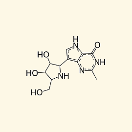 Cc1nc2c(C3NC(CO)C(O)C3O)c[nH]c2c(=O)[nH]1